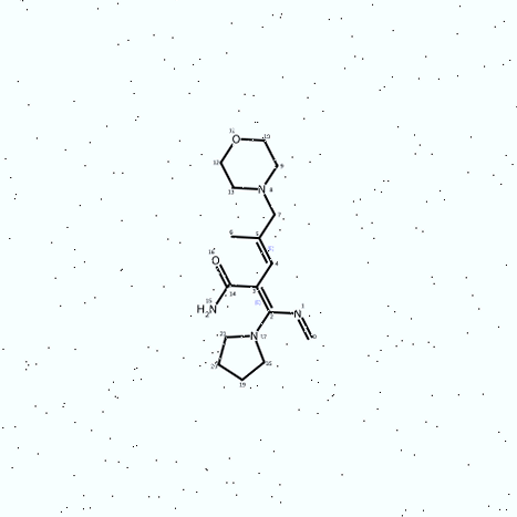 C=N/C(=C(\C=C(/C)CN1CCOCC1)C(N)=O)N1CCCC1